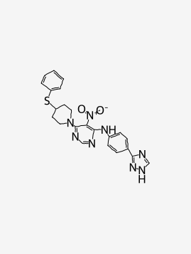 O=[N+]([O-])c1c(Nc2ccc(-c3nc[nH]n3)cc2)ncnc1N1CCC(Sc2ccccc2)CC1